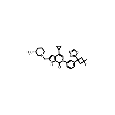 C[C@H]1CCCN(Cc2cc3c(C4CC4)cn(-c4cccc(C5(c6nnco6)CC(F)(F)C5)c4)c(=O)c3[nH]2)C1